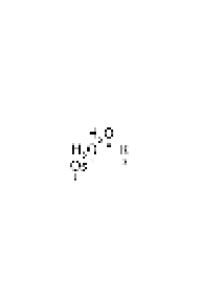 O.O.[K].[Os]